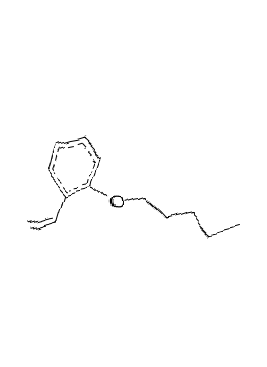 C=Cc1ccccc1OCCCCC